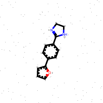 c1coc(-c2ccc(C3=NCCN3)cc2)c1